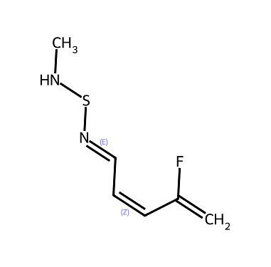 C=C(F)/C=C\C=N\SNC